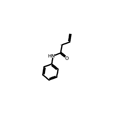 C=C[CH]C(=O)Nc1ccccc1